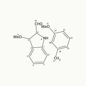 COC1c2ccccc2NC1C=O.COc1cccc(C)c1